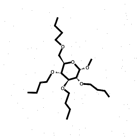 CCCCOC[C@H]1O[C@H](OC)[C@H](OCCCC)[C@@H](OCCCC)[C@@H]1OCCCC